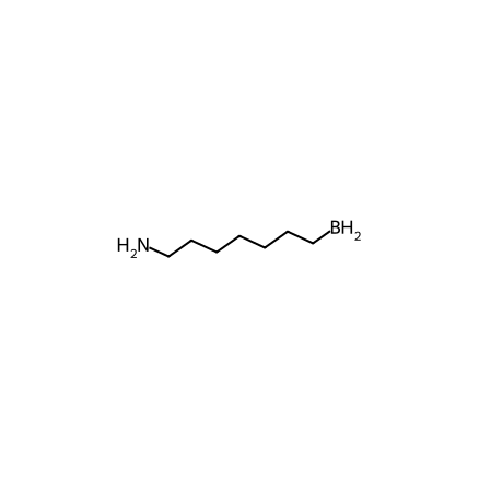 BCCCCCCCN